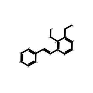 CCc1cccc(C=Cc2ccccc2)c1CC